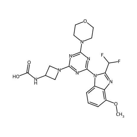 COc1cccc2c1nc(C(F)F)n2-c1nc(N2CCOCC2)nc(N2CC(NC(=O)O)C2)n1